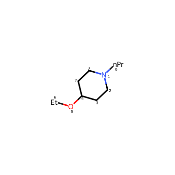 CCCN1CCC(OCC)CC1